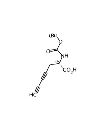 C#CC#CC[C@H](NC(=O)OC(C)(C)C)C(=O)O